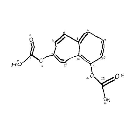 O=C(O)Oc1ccc2cccc(OC(=O)O)c2c1